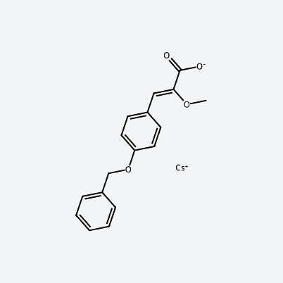 COC(=Cc1ccc(OCc2ccccc2)cc1)C(=O)[O-].[Cs+]